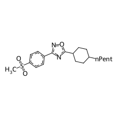 CCCCCC1CCC(c2nc(-c3ccc(S(C)(=O)=O)cc3)no2)CC1